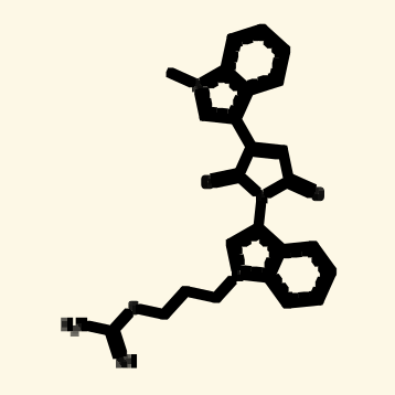 Cn1cc(C2=CC(=O)N(c3cn(CCCSC(=N)N)c4ccccc34)C2=O)c2ccccc21